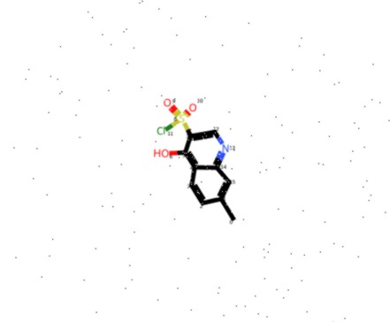 Cc1ccc2c(O)c(S(=O)(=O)Cl)cnc2c1